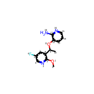 COc1ncc(F)cc1C(C)Oc1cccnc1N